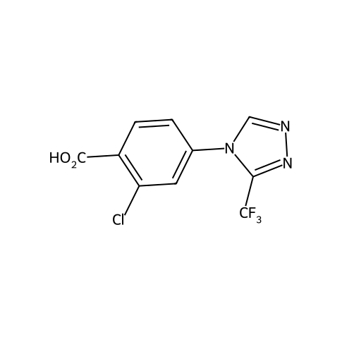 O=C(O)c1ccc(-n2cnnc2C(F)(F)F)cc1Cl